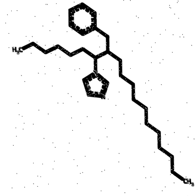 CCCCCCCCCCCC(Cc1ccccc1)C(CCCCCC)n1ccnc1